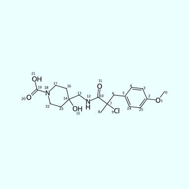 COc1ccc(CC(C)(Cl)C(=O)NCC2(O)CCN(C(=O)O)CC2)cc1